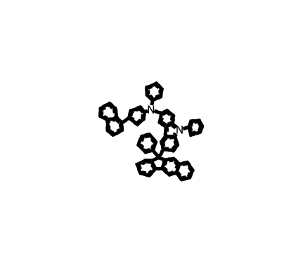 c1ccc(N(c2ccc(-c3cccc4ccccc34)cc2)c2ccc3c(c2)c2cc(C4(c5ccccc5)c5ccccc5-c5cc6ccccc6cc54)ccc2n3-c2ccccc2)cc1